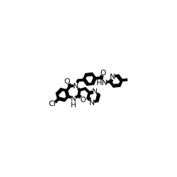 Cc1ccc(NC(=O)c2ccc(CN3C(=O)c4ccc(Cl)cc4NC(=O)C3Cc3cnccn3)cc2)nc1